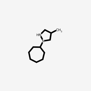 CC1CNN(C2CCCCCC2)C1